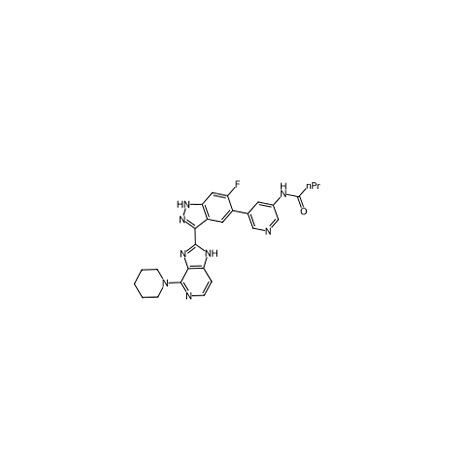 CCCC(=O)Nc1cncc(-c2cc3c(-c4nc5c(N6CCCCC6)nccc5[nH]4)n[nH]c3cc2F)c1